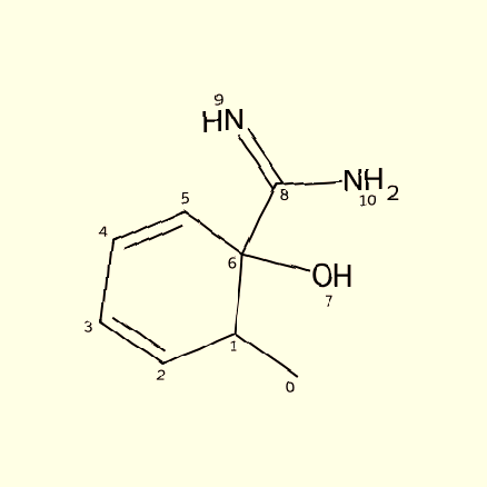 CC1C=CC=CC1(O)C(=N)N